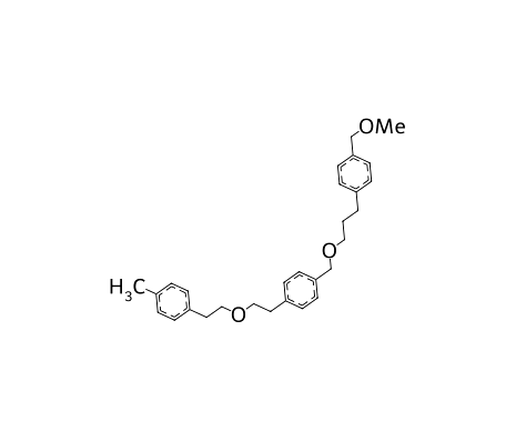 COCc1ccc(CCCOCc2ccc(CCOCCc3ccc(C)cc3)cc2)cc1